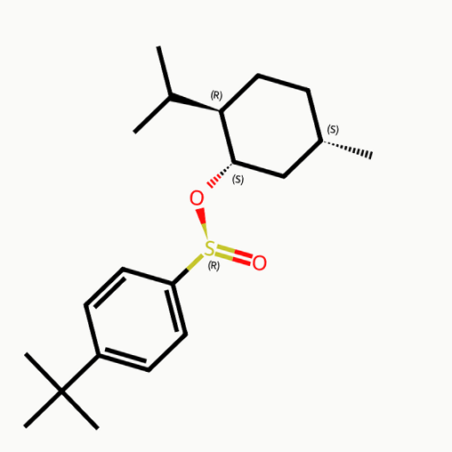 CC(C)[C@H]1CC[C@H](C)C[C@@H]1O[S@@](=O)c1ccc(C(C)(C)C)cc1